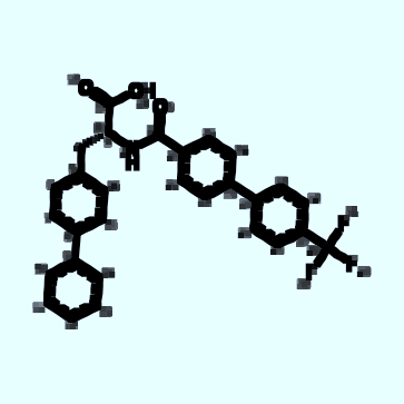 O=C(N[C@H](Cc1ccc(-c2ccccc2)cc1)C(=O)O)c1ccc(-c2ccc(C(F)(F)F)cc2)cc1